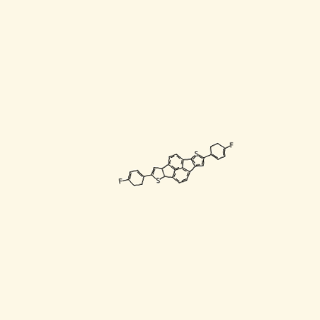 FC1=CC=C(C2=CC3c4ccc5c6c(ccc(c46)C3S2)-c2cc(C3=CC=C(F)CC3)sc2-5)CC1